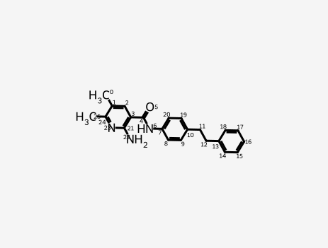 Cc1cc(C(=O)Nc2ccc(CCc3ccccc3)cc2)c(N)nc1C